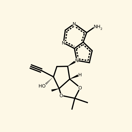 C#C[C@@]1(O)C[C@@H](n2ccc3c(N)ncnc32)[C@@H]2OC(C)(C)O[C@@]21C